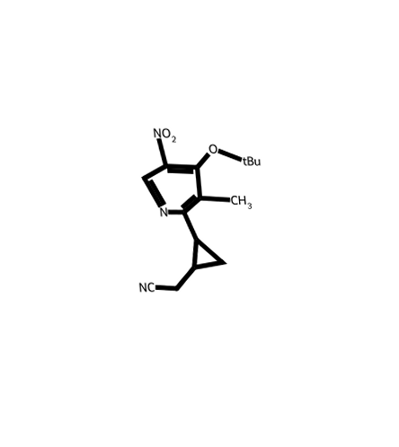 Cc1c(C2CC2CC#N)ncc([N+](=O)[O-])c1OC(C)(C)C